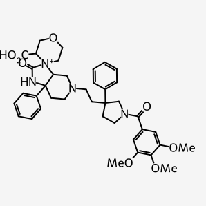 COc1cc(C(=O)N2CCC(CCN3CCC4(c5ccccc5)NC(=O)[N+]5(CCOCC5C(=O)O)C4C3)(c3ccccc3)C2)cc(OC)c1OC